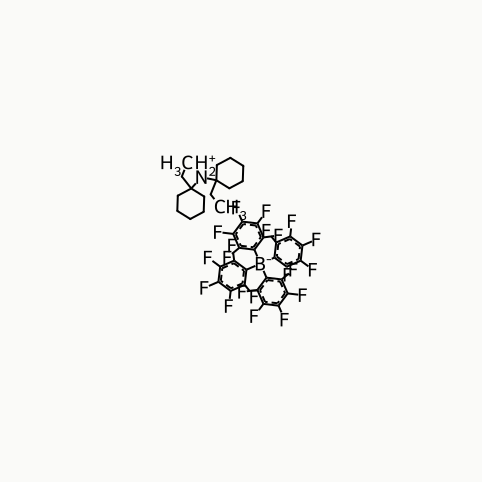 CCC1([NH2+]C2(CC)CCCCC2)CCCCC1.Fc1c(F)c(F)c([B-](c2c(F)c(F)c(F)c(F)c2F)(c2c(F)c(F)c(F)c(F)c2F)c2c(F)c(F)c(F)c(F)c2F)c(F)c1F